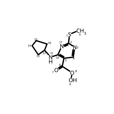 CSc1ncc(C(=O)OO)c(NC2CCCC2)n1